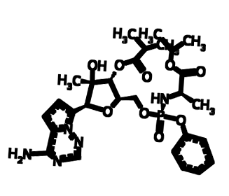 CC(C)OC(=O)[C@@H](C)N[P@@](=O)(OC[C@H]1O[C@@H](c2ccc3c(N)ncnn23)[C@](C)(O)[C@@H]1OC(=O)C(C)C)Oc1ccccc1